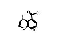 Cl.O=C(O)c1cccc2c1NC=CO2